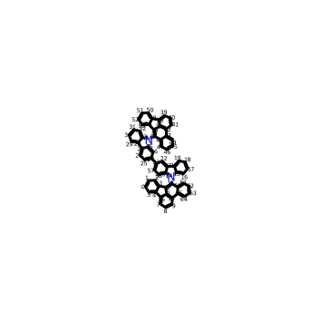 c1ccc2c(c1)-c1cccc3c1c-2c(-n1c2ccccc2c2cc(-c4ccc5c6ccccc6n(-c6c7c8c(cccc8c8ccccc68)-c6ccccc6-7)c5c4)ccc21)c1ccccc13